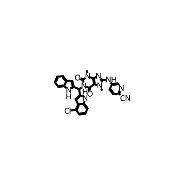 Cn1c(Nc2ccc(C#N)nc2)nc2c1c(=O)n(C(c1cc3ccccc3[nH]1)c1cc3c(Cl)cccc3[nH]1)c(=O)n2C